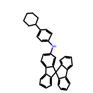 c1ccc2c(c1)-c1ccccc1C21c2ccccc2-c2ccc(Nc3ccc(C4CCCCC4)cc3)cc21